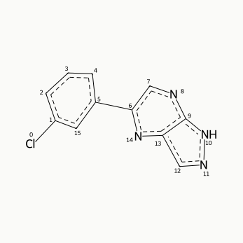 Clc1cccc(-c2cnc3[nH]ncc3n2)c1